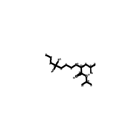 CCCC(F)(F)CCCSC(CC(C)C)C(=O)OC(C)C